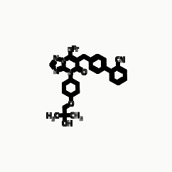 CCCc1c(Cc2ccc(-c3ccccc3C#N)cc2)c(=O)n(C2CCC(OCC(C)(C)O)CC2)c2ncnn12